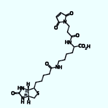 O=C(CCCCC1SC[C@@H]2NC(=O)N[C@H]12)NCCCCC(NC(=O)CCN1C(=O)C=CC1=O)C(=O)O